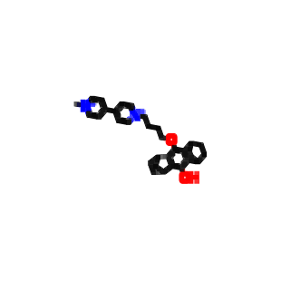 C[n+]1ccc(-c2cc[n+](CCCCOc3c4c(c(O)c5c3C3CCC5C3)C3CCC4CC3)cc2)cc1